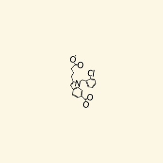 COC(=O)CCCc1cc2ccc(C(=O)OC)cc2n1Cc1ccccc1Cl